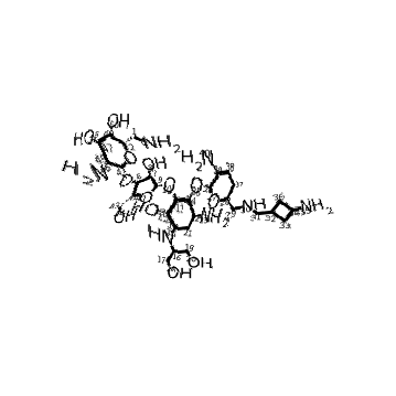 NC[C@@H]1O[C@H](O[C@H]2[C@@H](O)[C@H](O[C@@H]3[C@@H](O)[C@H](NC(CO)CO)C[C@H](N)[C@H]3O[C@H]3O[C@H](CNCC4CC(N)C4)CC[C@H]3N)O[C@@H]2CO)[C@H](N)[C@@H](O)[C@@H]1O